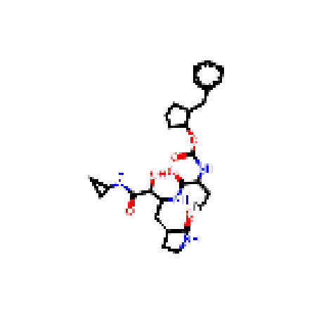 CC(C)CC(NC(=O)OC1CCCC1Cc1ccccc1)C(=O)NC(C[C@@H]1CCNC1=O)C(O)C(=O)NC1CC1